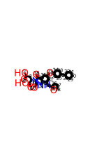 O=C(O)CC(C(=O)O)n1c(=O)[nH]c2c(Cc3ccco3)cc(Oc3ccc(-c4ccccc4)cc3)cc2c1=O